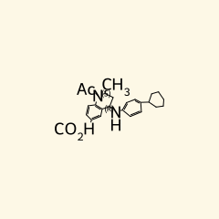 CC(=O)N1c2ccc(C(=O)O)cc2[C@H](Nc2ccc(C3CCCCC3)cc2)C[C@@H]1C